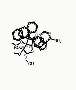 COO[C@]1(C(c2ccccc2)(c2ccccc2)c2ccccc2)[C@@](O)(OC)[C@@H](CO)O[C@@]1(C(=O)c1ccccc1)n1cnc2c(N)ncnc21